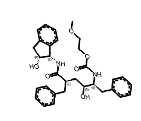 COCCOC(=O)N[C@@H](Cc1ccccc1)[C@@H](O)C[C@@H](Cc1ccccc1)C(=O)N[C@H]1c2ccccc2C[C@H]1O